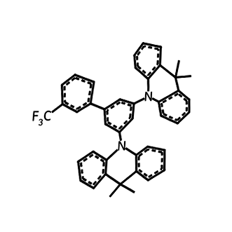 CC1(C)c2ccccc2N(c2cc(-c3cccc(C(F)(F)F)c3)cc(N3c4ccccc4C(C)(C)c4ccccc43)c2)c2ccccc21